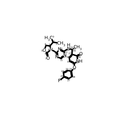 CC(C)C1COC(=O)N1c1ncnc(N[C@@H](C)c2ccc(Oc3ccc(F)cc3)[nH]c2=O)n1